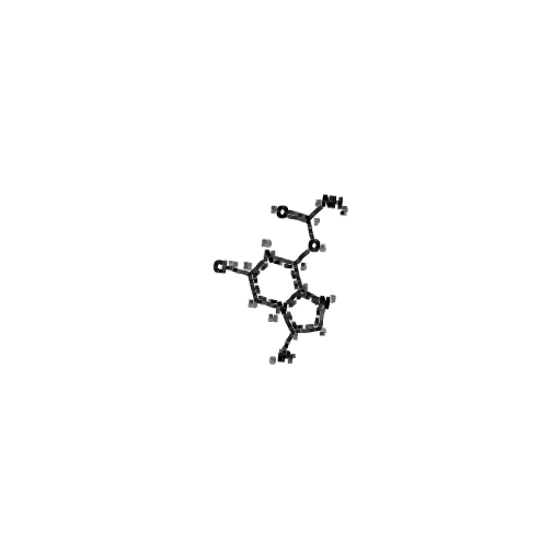 CC(C)c1cnc2c(OC(N)=O)nc(Cl)cn12